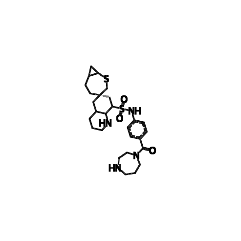 O=C(c1ccc(NS(=O)(=O)C2C[C@@]3(CCC4CC4SC3)CC3CCCNC32)cc1)N1CCCNCC1